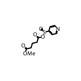 COC(=O)CCCC(=O)OS(=O)c1ccncc1